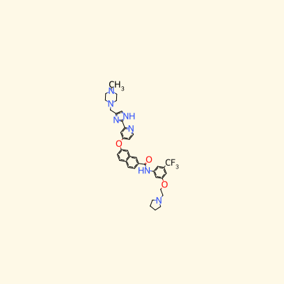 CN1CCN(Cc2c[nH]c(-c3cc(Oc4ccc5ccc(C(=O)Nc6cc(OCCN7CCCC7)cc(C(F)(F)F)c6)cc5c4)ccn3)n2)CC1